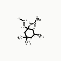 CC1CC(C)(C)CC(OOI)(OOC(C)(C)C)C1